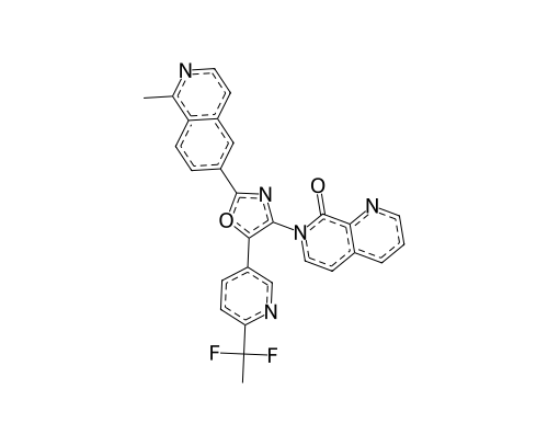 Cc1nccc2cc(-c3nc(-n4ccc5cccnc5c4=O)c(-c4ccc(C(C)(F)F)nc4)o3)ccc12